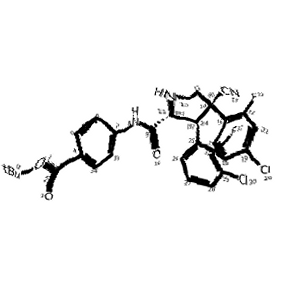 CC(C)(C)OC(=O)c1ccc(NC(=O)[C@@H]2NC[C@](C#N)(c3ccc(Cl)cc3F)[C@H]2c2cccc(Cl)c2F)cc1